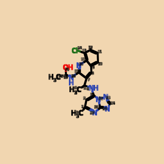 Cc1cc(NC(C)c2cc3cccc(Cl)c3nc2N[C@H](C)O)n2ncnc2n1